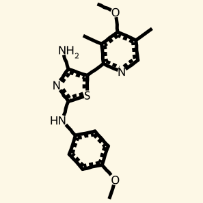 COc1ccc(Nc2nc(N)c(-c3ncc(C)c(OC)c3C)s2)cc1